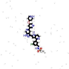 CS(=O)(=O)NCc1cc(F)cc(-c2nccc3[nH]c(-c4n[nH]c5cnc(-c6cncc(OC7CCNCC7)c6)cc45)cc23)c1